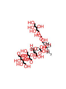 CC(=O)O.CC(O)C(=O)O.CCO.O=C(O)CCC(=O)O.O=CO.O=C[C@@H](O)[C@H](O)[C@H](O)CO.O=C[C@H](O)[C@@H](O)[C@H](O)CO.O=C[C@H](O)[C@@H](O)[C@H](O)[C@H](O)CO